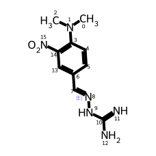 CN(C)c1ccc(/C=N/NC(=N)N)cc1[N+](=O)[O-]